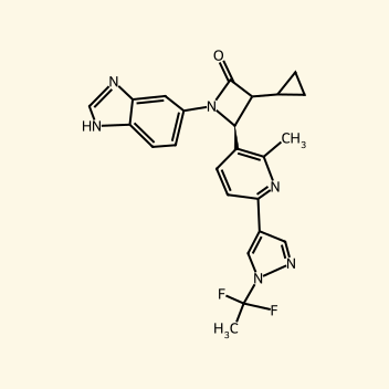 Cc1nc(-c2cnn(C(C)(F)F)c2)ccc1[C@@H]1C(C2CC2)C(=O)N1c1ccc2[nH]cnc2c1